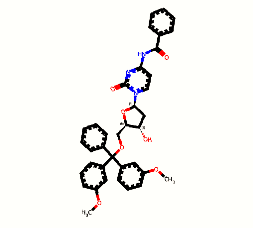 COc1cccc(C(OC[C@H]2O[C@@H](n3ccc(NC(=O)c4ccccc4)nc3=O)C[C@@H]2O)(c2ccccc2)c2cccc(OC)c2)c1